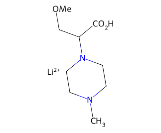 COCC(C(=O)O)N1CCN(C)CC1.[Li+2]